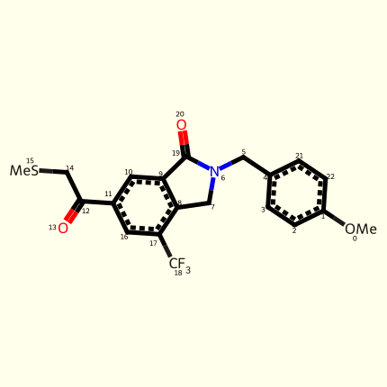 COc1ccc(CN2Cc3c(cc(C(=O)CSC)cc3C(F)(F)F)C2=O)cc1